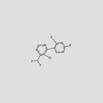 Fc1ccc(-c2ncnc(C(F)F)c2Cl)c(F)c1